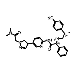 C[C@H](CN[C@H](C(=O)Nc1ccc(C2C=NN(CC(=O)N(C)C)C2)cn1)c1ccccc1)c1ccc(C#N)cc1